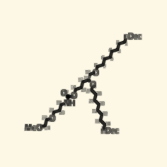 CCCCCCCCCCCCCCCCCCOC[C@H](CCCOC(=O)NCCCOCCOC)OCCCCCCCCCCCCCCCCCC